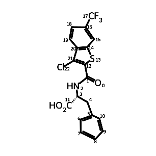 O=C(N[C@H](Cc1ccccc1)C(=O)O)c1sc2cc(C(F)(F)F)ccc2c1Cl